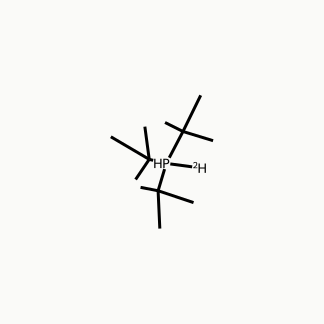 [2H][PH](C(C)(C)C)(C(C)(C)C)C(C)(C)C